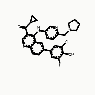 O=C(c1cnc2ccc(-c3cc(F)c(O)c(Cl)c3)cc2c1Nc1ccc(CN2CCCC2)nc1)C1CC1